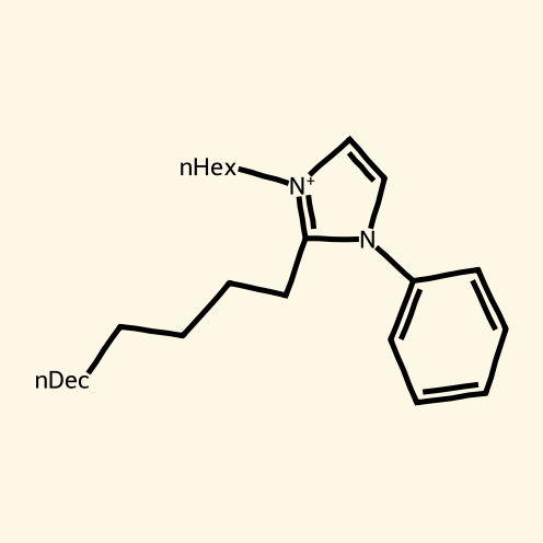 CCCCCCCCCCCCCCc1n(-c2ccccc2)cc[n+]1CCCCCC